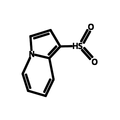 O=[SH](=O)c1ccn2ccccc12